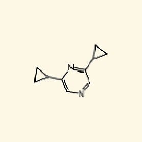 c1ncc(C2CC2)nc1C1CC1